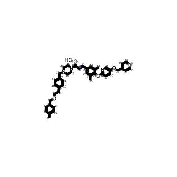 Cc1ccc(COCCc2ccc(CN3CCN(C(=O)/C=C/c4cc(C)c(Oc5ccc(OCc6ccncc6)cn5)c(C)c4)CC3)cc2)cc1.Cl